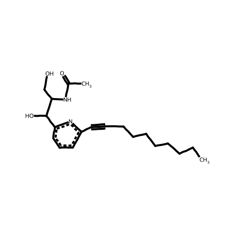 CCCCCCCCC#Cc1cccc(C(O)C(CO)NC(C)=O)n1